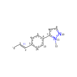 [CH2]/C=C/c1ccc(-c2ccnn2C)cc1